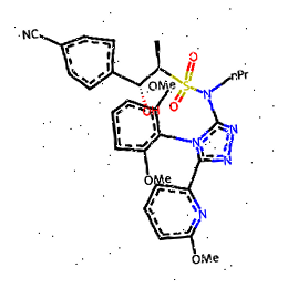 CCCN(c1nnc(-c2cccc(OC)n2)n1-c1c(OC)cccc1OC)S(=O)(=O)[C@H](C)[C@H](O)c1ccc(C#N)cc1